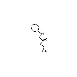 CCOC(=O)CNC1CCNCC1